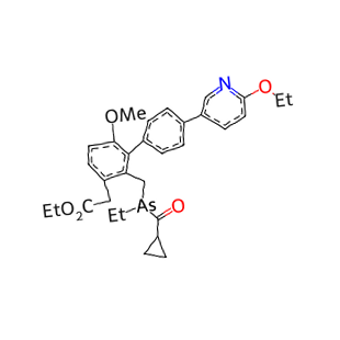 CCOC(=O)Cc1ccc(OC)c(-c2ccc(-c3ccc(OCC)nc3)cc2)c1C[As](CC)C(=O)C1CC1